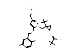 CNCc1cc(OCc2cc(F)ccc2F)n(CC2(C(F)(F)F)CC2)n1.O=C(O)C(F)(F)F